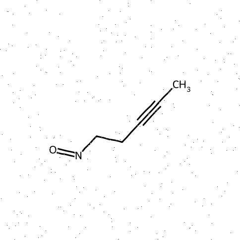 CC#CCCN=O